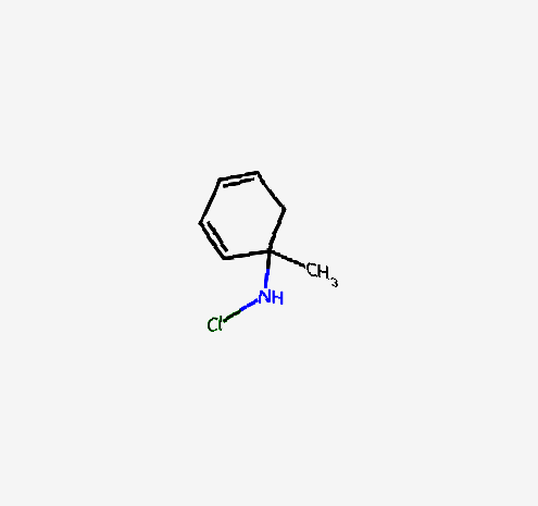 CC1(NCl)C=CC=CC1